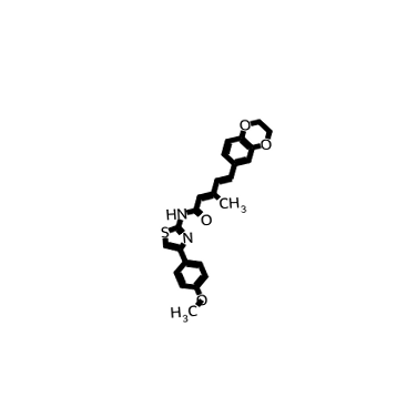 COc1ccc(-c2csc(NC(=O)/C=C(C)/C=C/c3ccc4c(c3)OCCO4)n2)cc1